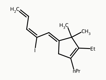 C=C/C=C(I)\C=C1/CC(CCC)=C(CC)C1(C)C